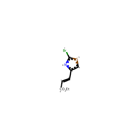 CCOC(=O)C=Cc1csc(Br)n1